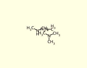 CN.CN(C)C.CNC